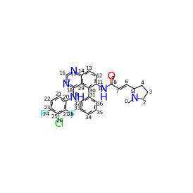 CN1CCCC1C=CC(=O)Nc1ccc2ncnc(Nc3ccc(F)c(Cl)c3F)c2c1-c1ccccc1